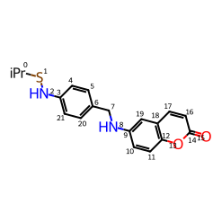 CC(C)SNc1ccc(CNc2ccc3oc(=O)ccc3c2)cc1